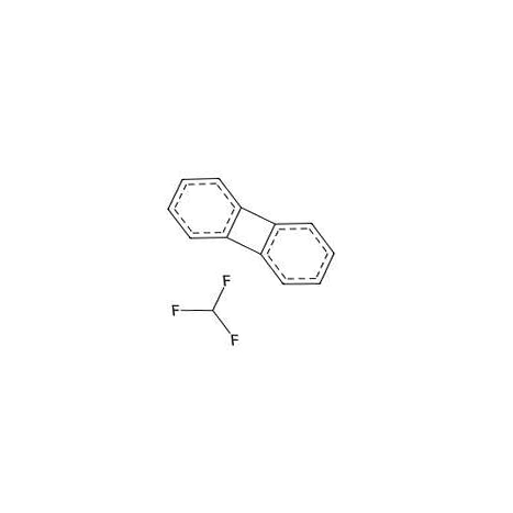 FC(F)F.c1ccc2c(c1)-c1ccccc1-2